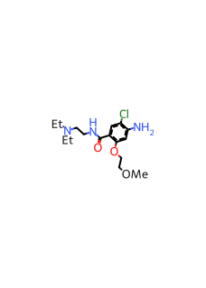 CCN(CC)CCNC(=O)c1cc(Cl)c(N)cc1OCCOC